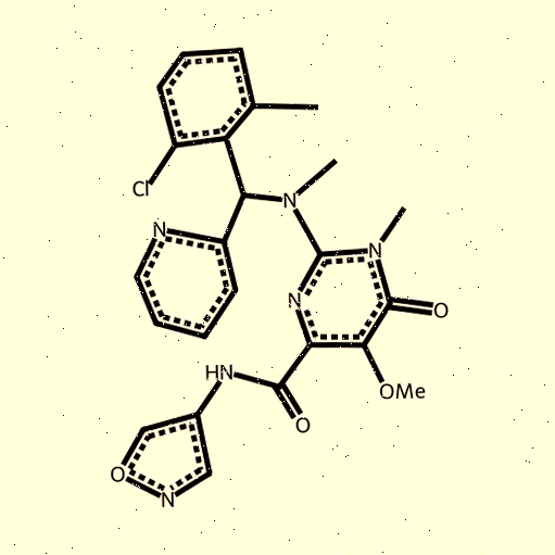 COc1c(C(=O)Nc2cnoc2)nc(N(C)C(c2ccccn2)c2c(C)cccc2Cl)n(C)c1=O